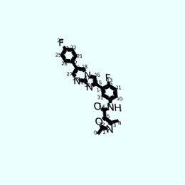 Cc1nc(C)c(C(=O)Nc2ccc(F)c(-c3cn4cc(-c5ccc(F)cc5)cnc4n3)c2)o1